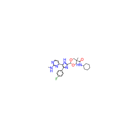 CNc1nccc(-c2[nH]c(C3OCC(C)(C(=O)NC4CCCCC4)CO3)nc2-c2ccc(F)cc2)n1